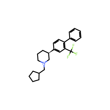 FC(F)(F)c1cc([C@@H]2CCCN(CC3CCCC3)C2)ccc1-c1ccccc1